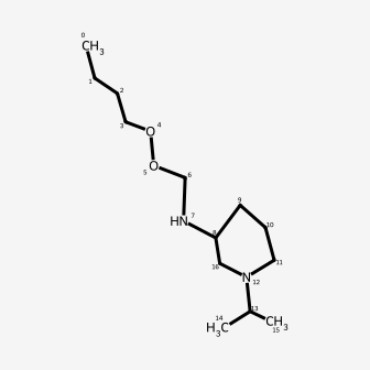 CCCCOOCNC1CCCN(C(C)C)C1